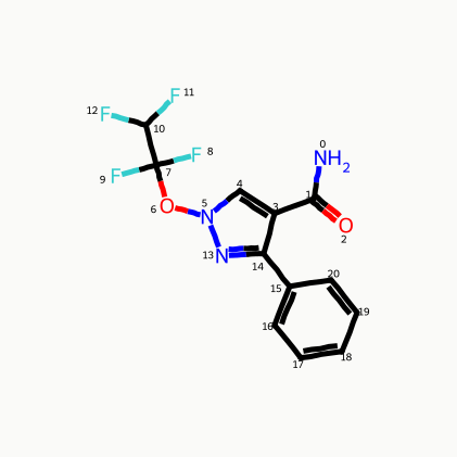 NC(=O)c1cn(OC(F)(F)C(F)F)nc1-c1ccccc1